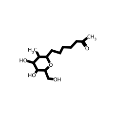 CC(=O)CCCCCC1OC(CO)C(O)C(O)C1C